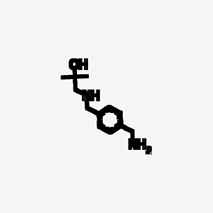 CC(C)(O)CNCc1ccc(CN)cc1